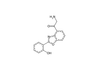 NCC(=O)c1cccc2oc(-c3ccccc3O)nc12